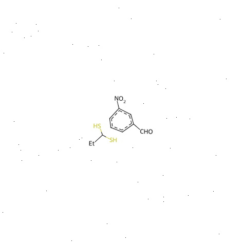 CCC(S)S.O=Cc1cccc([N+](=O)[O-])c1